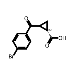 O=C(c1ccc(Br)cc1)C1C[C@@H]1C(=O)O